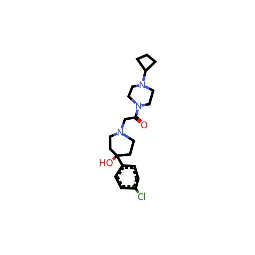 O=C(CN1CCC(O)(c2ccc(Cl)cc2)CC1)N1CCN(C2CCC2)CC1